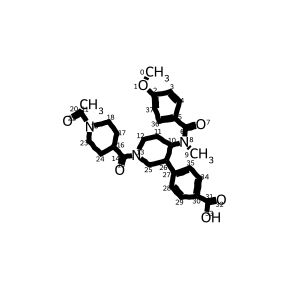 COc1ccc(C(=O)N(C)C2CCN(C(=O)C3CCN(C(C)=O)CC3)CC2c2ccc(C(=O)O)cc2)cc1